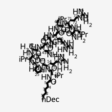 CCCCCCCCCCCCCCCC(=O)N[C@H](C(=O)N[C@@H](CCCNC(=N)N)C(=O)N1CCC[C@H]1C(=O)N[C@H](C(=O)N[C@@H](C)C(=O)N[C@@H](CC(N)=O)C(=O)N[C@@H](C)C(=O)N[C@@H](CCCNC(=N)N)C(=O)N[C@@H](CC(C)C)C(=O)N[C@@H](CCCNC(=N)N)C(=O)N[C@@H](CC(C)C)C(N)=O)C(C)C)C(C)C